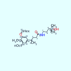 C=C(CCC(=O)NCCC[Si](C)(C)O)c1cc(CCCCCCCC)c(C)c(OCCCCCC)c1